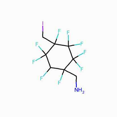 NCC1(F)C(F)C(F)(F)C(F)(CI)C(F)(F)C1(F)F